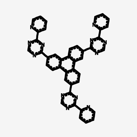 c1ccc(-c2ncnc(-c3ccc4c(c3)c3ccc(-c5ncnc(-c6ccccn6)n5)cc3c3ccc(-c5ncnc(-c6ccccn6)n5)cc43)n2)nc1